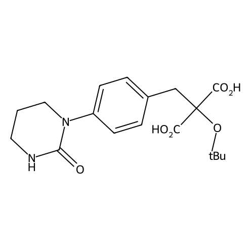 CC(C)(C)OC(Cc1ccc(N2CCCNC2=O)cc1)(C(=O)O)C(=O)O